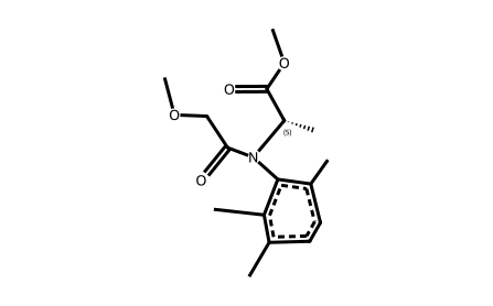 COCC(=O)N(c1c(C)ccc(C)c1C)[C@@H](C)C(=O)OC